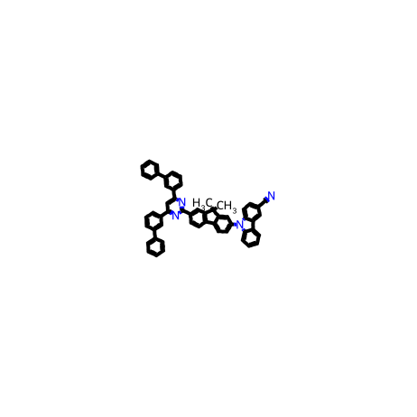 CC1(C)c2cc(-c3nc(-c4cccc(-c5ccccc5)c4)cc(-c4cccc(-c5ccccc5)c4)n3)ccc2-c2ccc(-n3c4ccccc4c4cc(C#N)ccc43)cc21